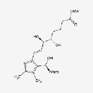 CCCCC[C@H](O)c1c(/C=C/[C@@H](O)[C@@H](O)CCCC(=O)OC)nc(C)n1C